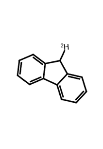 [2H]C1c2ccccc2-c2ccccc21